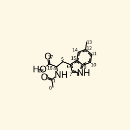 CC(=O)NC(Cc1c[nH]c2ccc(C)cc12)C(=O)O